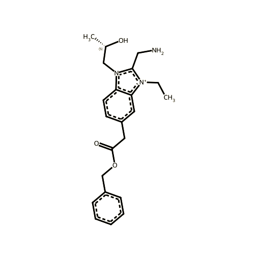 CC[n+]1c(CN)n(C[C@H](C)O)c2ccc(CC(=O)OCc3ccccc3)cc21